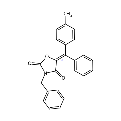 Cc1ccc(/C(=C2\OC(=O)N(Cc3ccccc3)C2=O)c2ccccc2)cc1